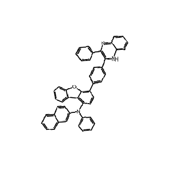 C1=CC2=NC(c3ccccc3)=C(c3ccc(-c4ccc(N(c5ccccc5)c5ccc6ccccc6c5)c5c4oc4ccccc45)cc3)NC2C=C1